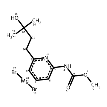 COC(=O)Nc1cccc(CCC(C)(C)O)n1.[Br][Mg][Br]